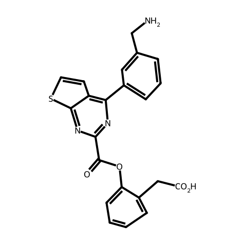 NCc1cccc(-c2nc(C(=O)Oc3ccccc3CC(=O)O)nc3sccc23)c1